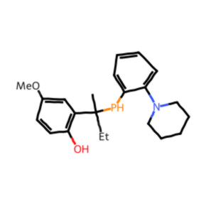 CCC(C)(Pc1ccccc1N1CCCCC1)c1cc(OC)ccc1O